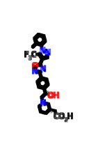 Cc1ccccc1-n1ncc(-c2nc(-c3ccc([C@H](O)CN4CCC[C@H](CC(=O)O)C4)cc3)no2)c1C(F)(F)F